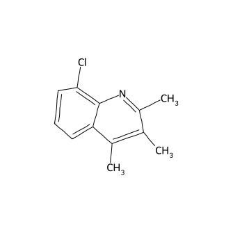 Cc1nc2c(Cl)cccc2c(C)c1C